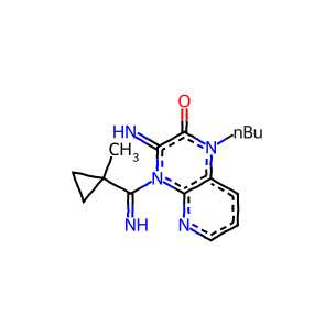 CCCCn1c(=O)c(=N)n(C(=N)C2(C)CC2)c2ncccc21